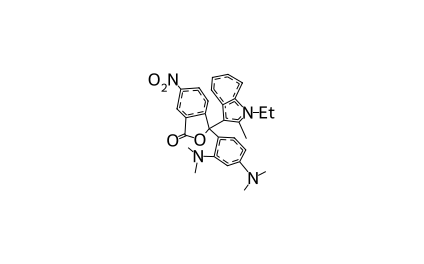 CCn1c(C)c(C2(c3ccc(N(C)C)cc3N(C)C)OC(=O)c3cc([N+](=O)[O-])ccc32)c2ccccc21